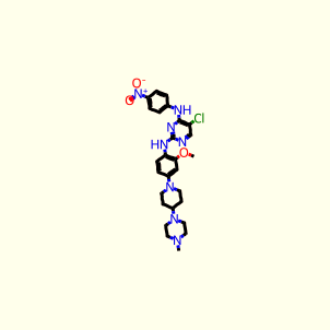 COc1cc(N2CCC(N3CCN(C)CC3)CC2)ccc1Nc1ncc(Cl)c(Nc2ccc([N+](=O)[O-])cc2)n1